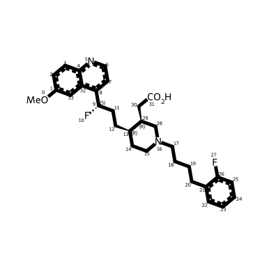 COc1ccc2nccc([C@@H](F)CC[C@@H]3CCN(CCCCc4ccccc4F)C[C@@H]3CC(=O)O)c2c1